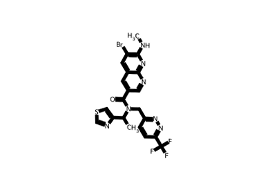 CNc1nc2ncc(C(=O)N(Cc3ccc(C(F)(F)F)nn3)C(C)c3cscn3)cc2cc1Br